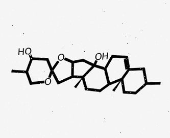 CC1CC[C@@]2(C)C(=CCC3C2CC[C@]2(C)C4CC5(CC(O)C(C)CO5)OC4CC32O)C1